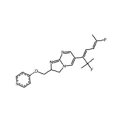 C/C(F)=C\C=C(\C1=CN2CC(COc3ccncc3)N=C2N=C1)C(C)(C)F